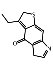 CCC1=C2C(=O)C3=C(C=C2SC1)N=CC3